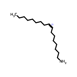 CCCCCCCC/C=C\CC[CH]C[CH]CCN